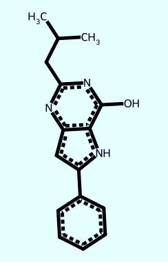 CC(C)Cc1nc(O)c2[nH]c(-c3ccccc3)cc2n1